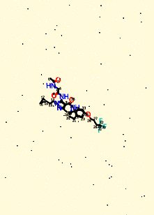 CC(=O)NCC(=O)Nc1c2c(nn1CCC1CC1)C[C@]1(CCc3cc(OCCCC(F)(F)F)ccc31)NC2=O